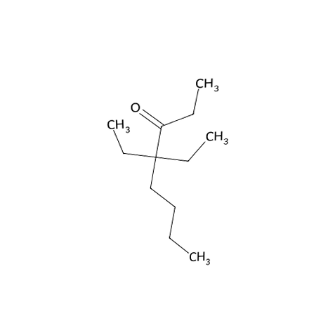 CCCCC(CC)(CC)C(=O)CC